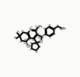 CC(C)Cc1ccc([C@H]2OC3(CCCC3)c3c2c(C(C)C)nc2c3[C@@H](O)CC(C)(C)C2)cc1